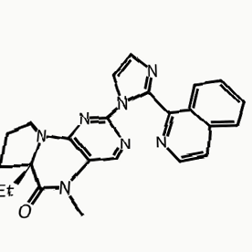 CC[C@@]12CCCN1c1nc(-n3ccnc3-c3nccc4ccccc34)ncc1N(C)C2=O